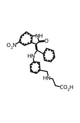 O=C(O)CCNCc1cccc(NC(=C2C(=O)Nc3ccc([N+](=O)[O-])cc32)c2ccccc2)c1